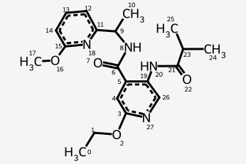 CCOc1cc(C(=O)NC(C)c2cccc(OC)n2)c(NC(=O)C(C)C)cn1